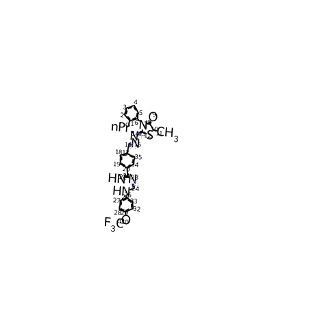 CCCc1ccccc1N1C(=O)C(C)S/C1=N\N=C\c1ccc(C(=N)/N=C\Nc2ccc(OC(F)(F)F)cc2)cc1